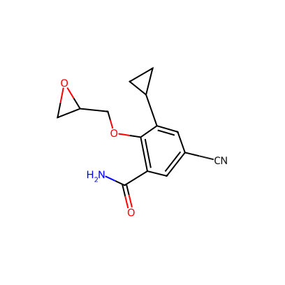 N#Cc1cc(C(N)=O)c(OCC2CO2)c(C2CC2)c1